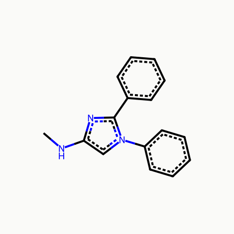 CNc1cn(-c2ccccc2)c(-c2ccccc2)n1